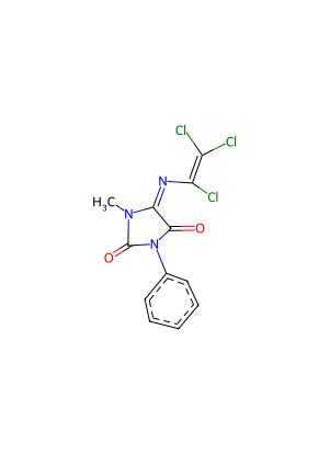 CN1C(=O)N(c2ccccc2)C(=O)C1=NC(Cl)=C(Cl)Cl